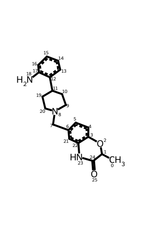 CC1Oc2ccc(CN3CCC(c4ccccc4N)CC3)cc2NC1=O